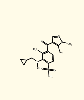 Cc1c(C(=O)c2cnn(C)c2O)ccc(S(C)(=O)=O)c1N(C)CC1CC1